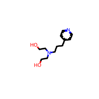 OCCN(CCO)CCCc1ccncc1